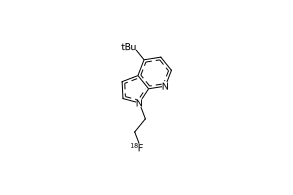 CC(C)(C)c1ccnc2c1ccn2CC[18F]